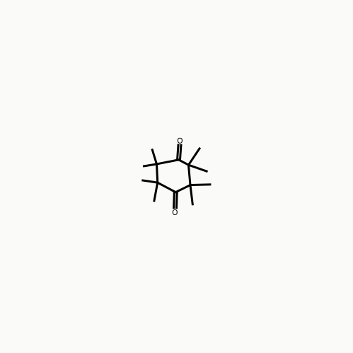 CC1(C)C(=O)C(C)(C)C(C)(C)C(=O)C1(C)C